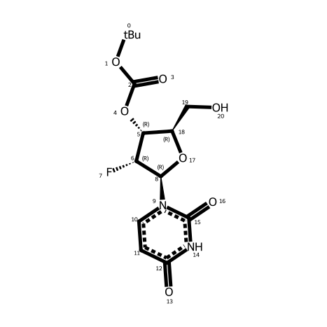 CC(C)(C)OC(=O)O[C@H]1[C@@H](F)[C@H](n2ccc(=O)[nH]c2=O)O[C@@H]1CO